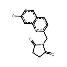 O=C1CCC(=O)N1Cc1ccc2ccc(F)cc2n1